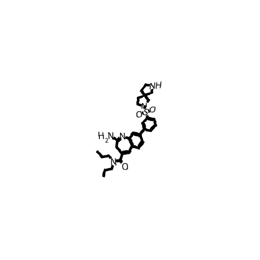 CCCN(CCC)C(=O)C1=Cc2ccc(-c3cccc(S(=O)(=O)N4CCC5(CCNC5)C4)c3)cc2N=C(N)C1